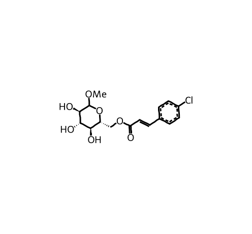 COC1O[C@H](COC(=O)/C=C/c2ccc(Cl)cc2)[C@@H](O)[C@H](O)[C@H]1O